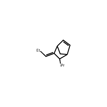 CCC=C1C2C=CC(C2)C1C(C)C